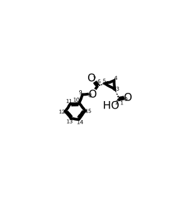 O=C(O)[C@H]1C[C@H]1C(=O)OCc1ccccc1